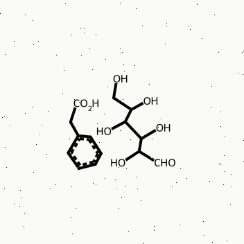 O=C(O)Cc1ccccc1.O=CC(O)C(O)C(O)C(O)CO